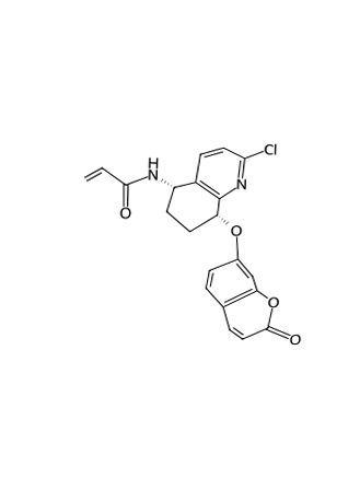 C=CC(=O)N[C@H]1CC[C@@H](Oc2ccc3ccc(=O)oc3c2)c2nc(Cl)ccc21